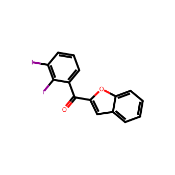 O=C(c1cc2ccccc2o1)c1cccc(I)c1I